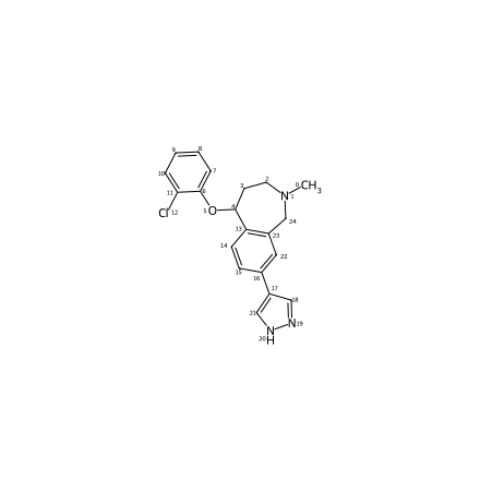 CN1CCC(Oc2ccccc2Cl)c2ccc(-c3cn[nH]c3)cc2C1